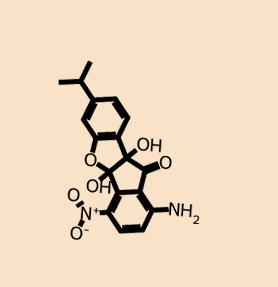 CC(C)c1ccc2c(c1)OC1(O)c3c([N+](=O)[O-])ccc(N)c3C(=O)C21O